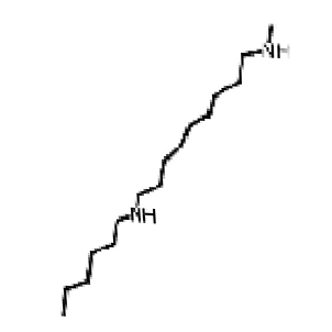 CCCCCCNCCCCCCCCCNC